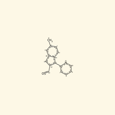 Cc1ccn2c(-c3ccccn3)c(C=O)cc2c1